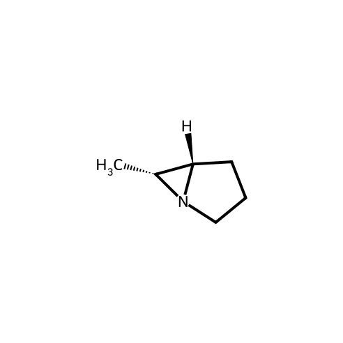 C[C@@H]1[C@@H]2CCCN12